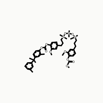 COC(=O)Oc1ccc(CCC[Si](C)(C)O[Si](C)(C)O[Si](C)(C)CCCc2ccc(OC(=O)Oc3ccc(C(C)(C)c4cccc(C)c4)cc3C)c(OC)c2)cc1OC